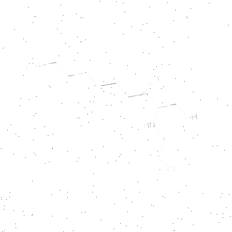 CCCCCCCC(=O)C(CO)NCCO